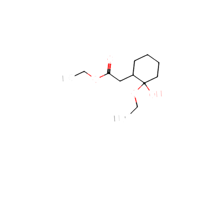 CCOC(=O)CC1CCCCC1(O)OCC